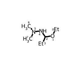 CCOC(CC)NN(C)C